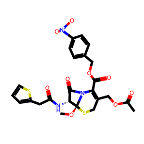 CO[C@]12SCC(COC(C)=O)=C(C(=O)OCc3ccc([N+](=O)[O-])cc3)N1C(=O)[C@H]2NC(=O)Cc1cccs1